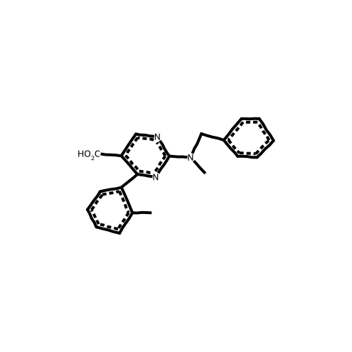 Cc1ccccc1-c1nc(N(C)Cc2ccccc2)ncc1C(=O)O